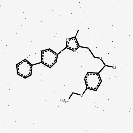 CCC(OCCc1nc(-c2ccc(-c3ccccc3)cc2)oc1C)c1ccc(OCC(=O)O)cc1